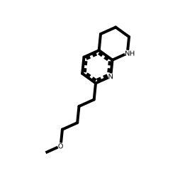 COCCCCc1ccc2c(n1)NCCC2